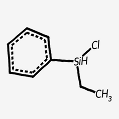 CC[SiH](Cl)c1ccccc1